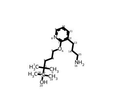 CC(C)(CCCOc1ncccc1CCCN)[Si](C)(C)O